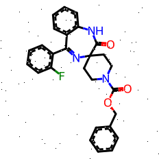 O=C(OCc1ccccc1)N1CCC2(CC1)N=C(c1ccccc1F)c1ccccc1NC2=O